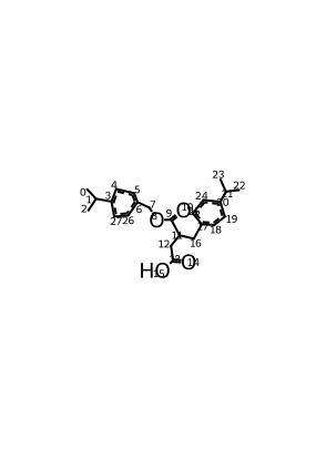 CC(C)c1ccc(COC(=O)C(CC(=O)O)Cc2ccc(C(C)C)cc2)cc1